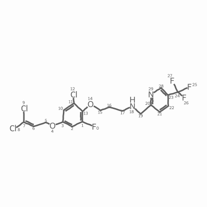 Fc1cc(OCC=C(Cl)Cl)cc(Cl)c1OCCCNCc1ccc(C(F)(F)F)cn1